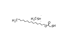 CCCCCCCCCCCCCCOC(=O)CS.[CH3][Sn]